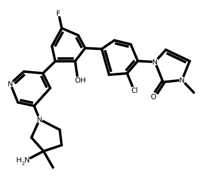 Cn1ccn(-c2ccc(-c3cc(F)cc(-c4cncc(N5CCC(C)(N)C5)c4)c3O)cc2Cl)c1=O